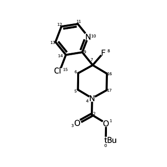 CC(C)(C)OC(=O)N1CCC(F)(c2ncccc2Cl)CC1